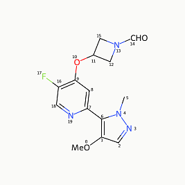 COc1cnn(C)c1-c1cc(OC2CN(C=O)C2)c(F)cn1